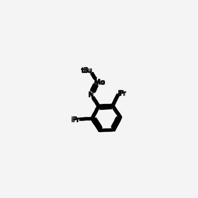 CC(C)c1cccc(C(C)C)c1[N]=[Mo][C](C)(C)C